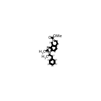 COC(=O)N1CCc2ccc3c(nc(C)n3[C@H](C)Cc3ccccc3)c2C1